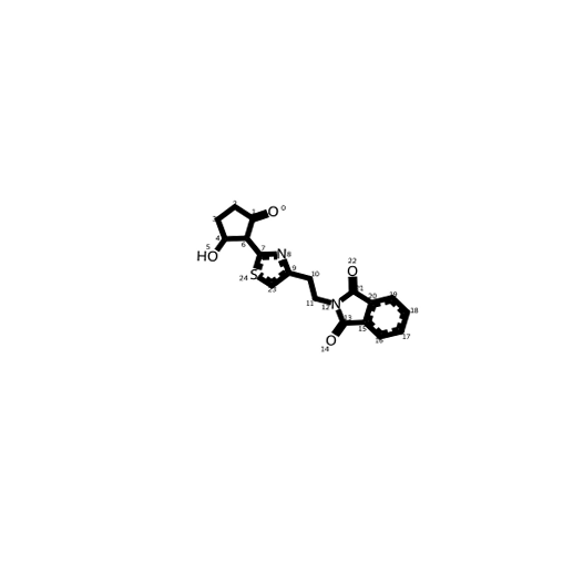 O=C1CCC(O)C1c1nc(CCN2C(=O)c3ccccc3C2=O)cs1